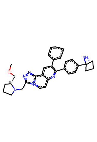 COC[C@H]1CCCN1Cc1nnc2c3cc(-c4ccccc4)c(-c4ccc(C5(N)CCC5)cc4)nc3ccn12